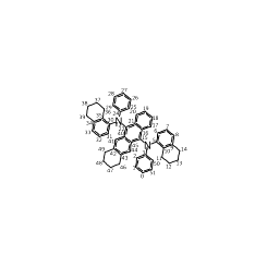 c1ccc(N(c2cccc3c2CCCC3)c2c3ccccc3c(N(c3ccccc3)c3cccc4c3CCCC4)c3cc4c(cc23)CCCC4)cc1